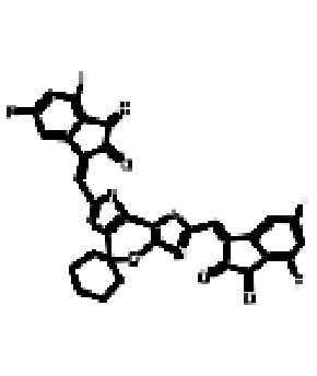 O=C1C(=O)c2c(F)cc(F)cc2/C1=C/c1nc2c(s1)-c1sc(/C=C3\C(=O)C(=O)c4c(F)cc(F)cc43)nc1C1(CCCCC1)O2